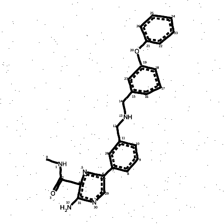 CNC(=O)c1nc(-c2cccc(CNCc3cccc(Oc4ccccc4)c3)c2)cnc1N